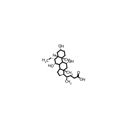 CC[C@H]1[C@@H](O)C2C3CC[C@H]([C@H](C)CCC(=O)O)[C@@]3(C)C[C@@H](O)C2[C@@]2(C)CC[C@@H](O)C[C@@H]12